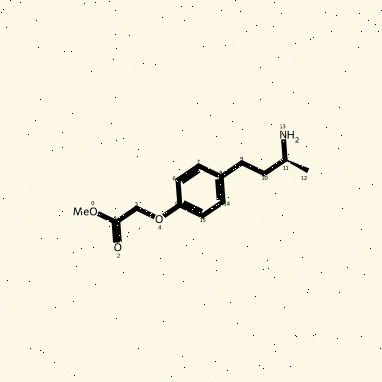 COC(=O)COc1ccc(CC[C@H](C)N)cc1